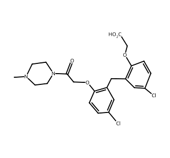 CN1CCN(C(=O)COc2ccc(Cl)cc2Cc2cc(Cl)ccc2OCC(=O)O)CC1